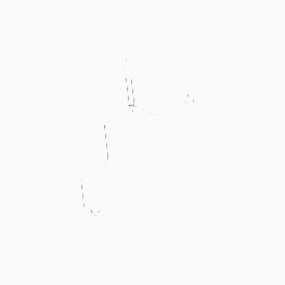 CSCCCC(=O)ON